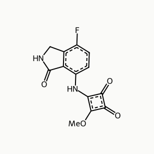 COc1c(Nc2ccc(F)c3c2C(=O)NC3)c(=O)c1=O